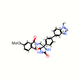 COc1ccc2c(c1)C(=O)N(C[C@@]1(c3ccc(-c4ccc5c(c4)nnn5C)cc3)NC(=O)NC1=O)C2